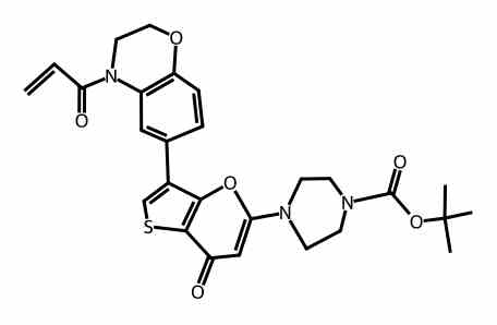 C=CC(=O)N1CCOc2ccc(-c3csc4c(=O)cc(N5CCN(C(=O)OC(C)(C)C)CC5)oc34)cc21